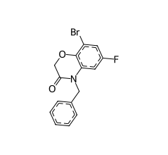 O=C1COc2c(Br)cc(F)cc2N1Cc1ccccc1